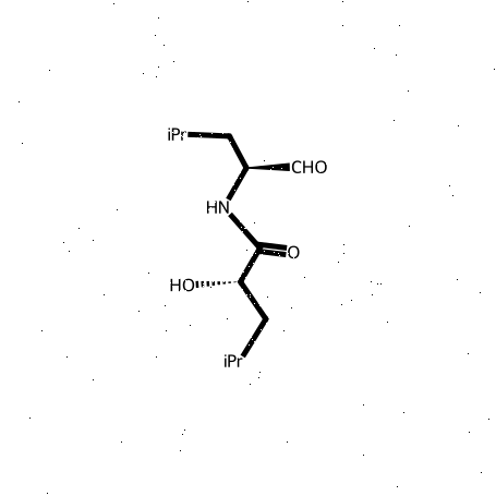 CC(C)C[C@@H](C=O)NC(=O)[C@@H](O)CC(C)C